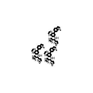 Cn1ccc(C(Nc2cc(-c3ccc4ccn(C)c4c3)c3nccnc3c2)c2cnnn2C)n1.Cn1ccc(C(Nc2cc(-c3ccc4ccn(C)c4c3)c3nccnc3c2)c2cnnn2C)n1.Cn1ccc([C@@H](Nc2cc(-c3ccc4ccn(C)c4c3)c3nccnc3c2)c2cnnn2C)n1